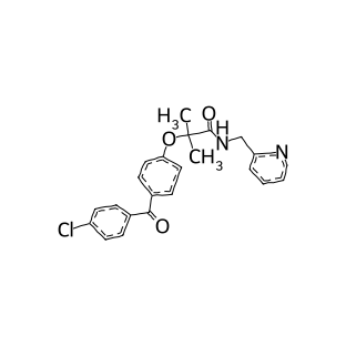 CC(C)(Oc1ccc(C(=O)c2ccc(Cl)cc2)cc1)C(=O)NCc1ccccn1